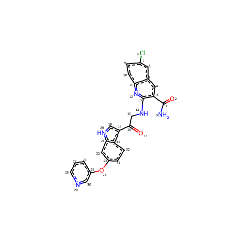 NC(=O)c1cc2cc(Cl)ccc2nc1NCC(=O)c1c[nH]c2cc(Oc3cccnc3)ccc12